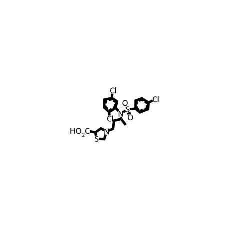 CC(CCN1CSC(C(=O)O)C1)N(c1cc(Cl)ccc1Cl)S(=O)(=O)c1ccc(Cl)cc1